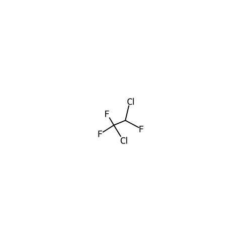 FC(Cl)C(F)(F)Cl